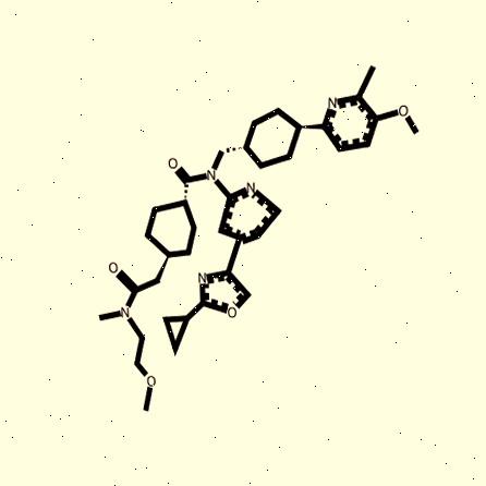 COCCN(C)C(=O)C[C@H]1CC[C@H](C(=O)N(C[C@H]2CC[C@H](c3ccc(OC)c(C)n3)CC2)c2cc(-c3coc(C4CC4)n3)ccn2)CC1